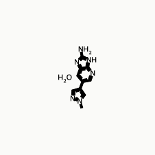 Cn1cc(-c2cnc3[nH]c(N)nc3c2)cn1.O